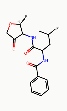 CC[C@@H]1OCC(=O)C1NC(=O)C(CC(C)C(C)C)NC(=O)c1ccccc1